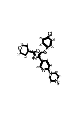 CN1CCN(c2ccc(-c3nc(C4CCOCC4)oc3Sc3ccc(Cl)cc3)cn2)CC1